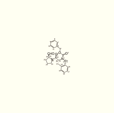 CCN(C(=O)OCc1ccccc1)[C@H](Cc1ccccc1)C(=O)[N+]1CCC[C@H]1C=O